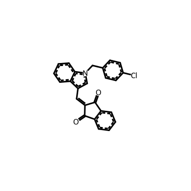 O=C1C(=Cc2cn(Cc3ccc(Cl)cc3)c3ccccc23)C(=O)c2ccccc21